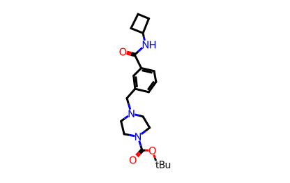 CC(C)(C)OC(=O)N1CCN(Cc2cccc(C(=O)NC3CCC3)c2)CC1